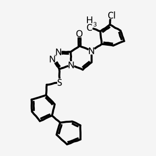 Cc1c(Cl)cccc1-n1ccn2c(SCc3cccc(-c4ccccc4)c3)nnc2c1=O